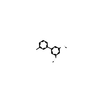 COc1cc(OC)cc(-c2cc[c]c(C)c2)c1